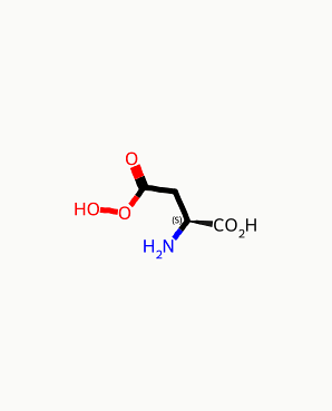 N[C@@H](CC(=O)OO)C(=O)O